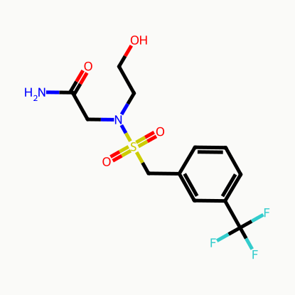 NC(=O)CN(CCO)S(=O)(=O)Cc1cccc(C(F)(F)F)c1